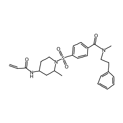 C=CC(=O)NC1CCN(S(=O)(=O)c2ccc(C(=O)N(C)CCc3ccccc3)cc2)C(C)C1